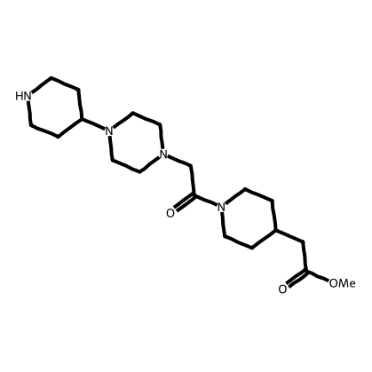 COC(=O)CC1CCN(C(=O)CN2CCN(C3CCNCC3)CC2)CC1